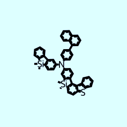 C[Si]1(C)c2ccccc2-c2cc(N(c3ccc(-c4cccc5ccccc45)cc3)c3ccc4c(c3)[Si](C)(C)c3ccc5sc6ccccc6c5c3-4)ccc21